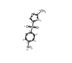 Cc1ncc(S(=O)(=O)c2ccc([N+](=O)[O-])cc2)o1